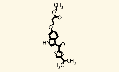 CCOC(=O)CCOc1ccc2c(C(=O)c3nc(C(C)C)cs3)c[nH]c2c1